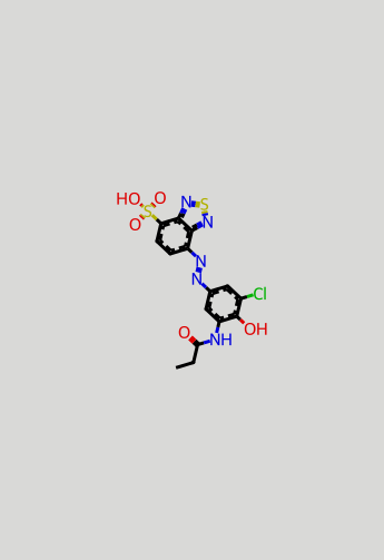 CCC(=O)Nc1cc(/N=N/c2ccc(S(=O)(=O)O)c3nsnc23)cc(Cl)c1O